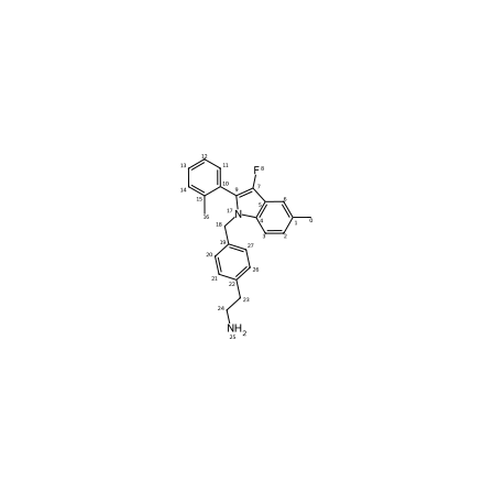 Cc1ccc2c(c1)c(F)c(-c1ccccc1C)n2Cc1ccc(CCN)cc1